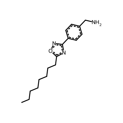 CCCCCCCCc1nc(-c2ccc(CN)cc2)no1